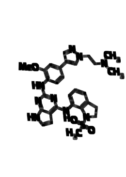 COc1cc(-c2cnn(CCN(C)C)c2)ccc1Nc1nc(Nc2cccc3c2N(S(C)(=O)=O)CC3)c2cc[nH]c2n1